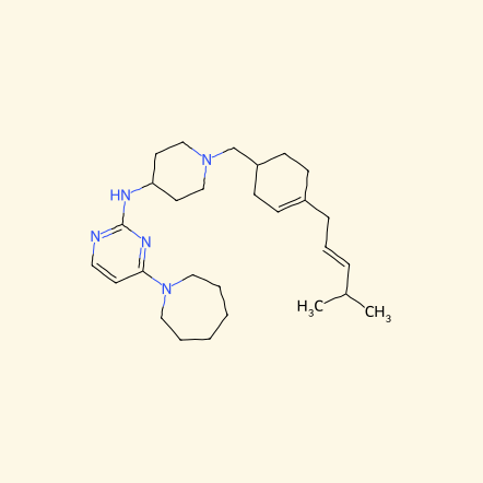 CC(C)/C=C/CC1=CCC(CN2CCC(Nc3nccc(N4CCCCCC4)n3)CC2)CC1